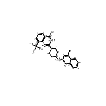 Cc1cc(NC2CCC(C(=O)N[C@H](C)c3cccc(C(F)(F)F)c3)CC2)nc2ccccc12